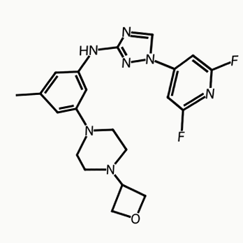 Cc1cc(Nc2ncn(-c3cc(F)nc(F)c3)n2)cc(N2CCN(C3COC3)CC2)c1